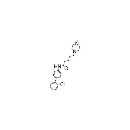 CN1CCN(CCCCC(=O)Nc2ccc(-c3ccccc3Cl)cc2)CC1